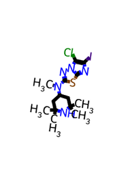 CN(c1nn2c(Cl)c(I)nc2s1)C1CC(C)(C)NC(C)(C)C1